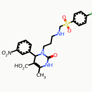 CC1=C(C(=O)O)C(c2cccc([N+](=O)[O-])c2)N(CCCNCS(=O)(=O)c2ccc(Cl)cc2)C(=O)N1